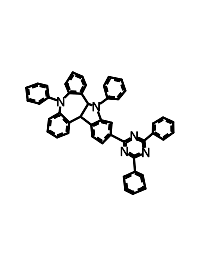 c1ccc(-c2nc(-c3ccccc3)nc(-c3ccc4c(c3)N(c3ccccc3)C3c5ccccc5N(c5ccccc5)c5ccccc5C43)n2)cc1